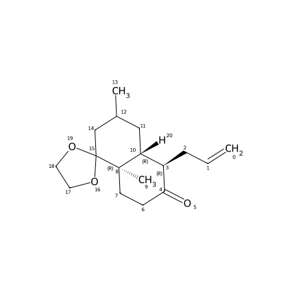 C=CC[C@H]1C(=O)CC[C@]2(C)[C@@H]1CC(C)CC21OCCO1